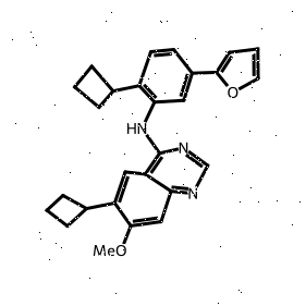 COc1cc2ncnc(Nc3cc(-c4ccco4)ccc3C3CCC3)c2cc1C1CCC1